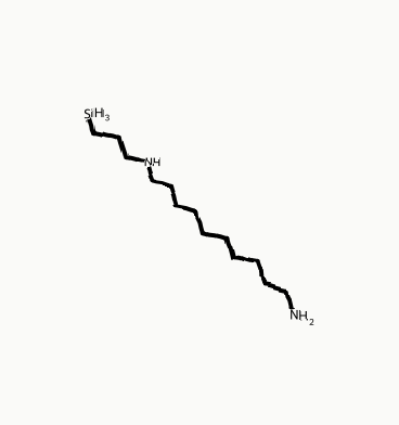 NCCCCCCCCCCNCCC[SiH3]